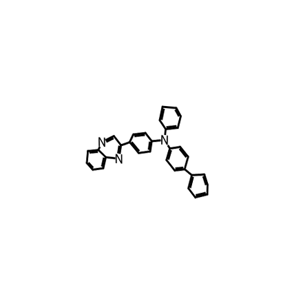 c1ccc(-c2ccc(N(c3ccccc3)c3ccc(-c4cnc5ccccc5n4)cc3)cc2)cc1